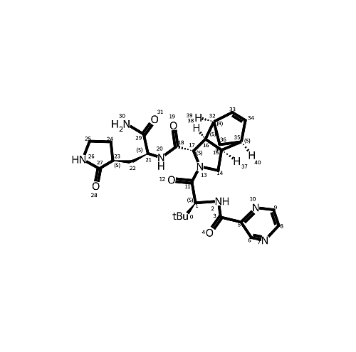 CC(C)(C)[C@H](NC(=O)c1cnccn1)C(=O)N1C[C@H]2[C@@H]([C@H]1C(=O)N[C@@H](C[C@@H]1CCNC1=O)C(N)=O)[C@H]1C=C[C@@H]2C1